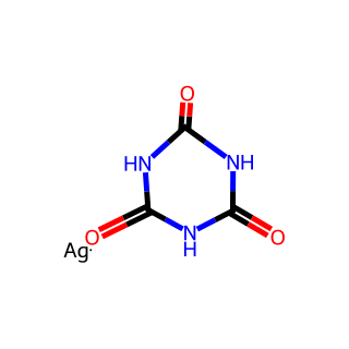 O=c1[nH]c(=O)[nH]c(=O)[nH]1.[Ag]